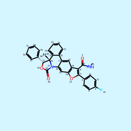 CNC(=O)c1c(-c2ccc(F)cc2)oc2cc3c(cc12)-c1ccccc1[C@H]1[C@@H](c2ccccc2)OC(=O)N31